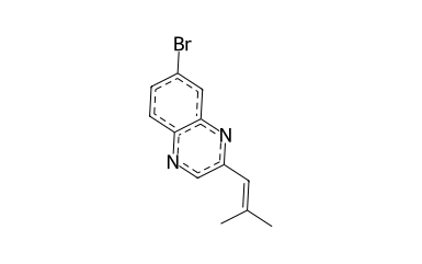 CC(C)=Cc1cnc2ccc(Br)cc2n1